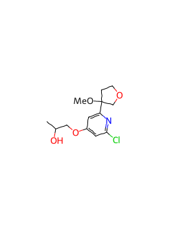 COC1(c2cc(OCC(C)O)cc(Cl)n2)CCOC1